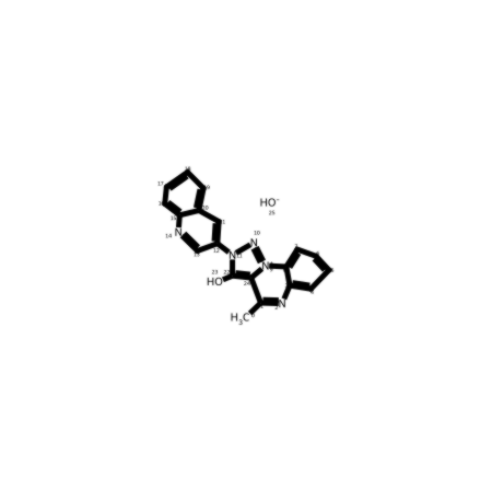 Cc1nc2ccccc2[n+]2nn(-c3cnc4ccccc4c3)c(O)c12.[OH-]